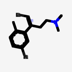 CC/C=C(/CCN(C)C)c1cc(CC)ccc1C